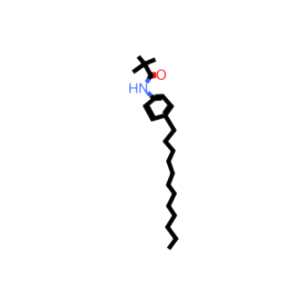 CCCCCCCCCCCCc1ccc(NC(=O)C(C)(C)C)cc1